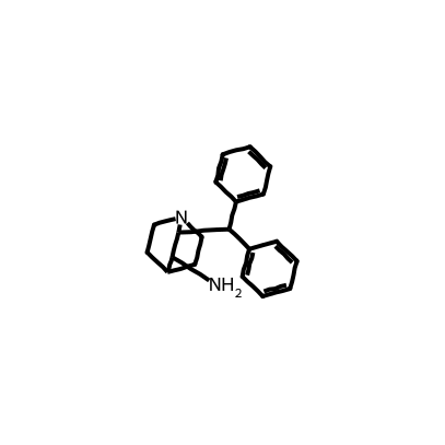 NC1C2CCN(CC2)C1C(c1ccccc1)c1ccccc1